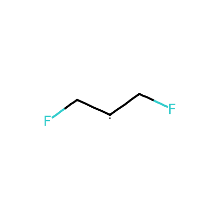 FC[CH]CF